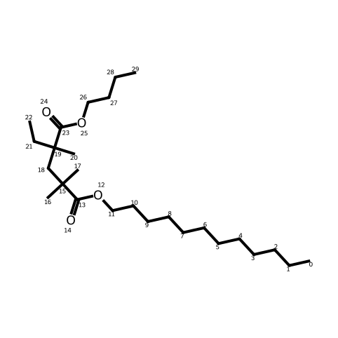 CCCCCCCCCCCCOC(=O)C(C)(C)CC(C)(CC)C(=O)OCCCC